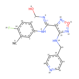 N#Cc1cc(N/C(=N\CO)c2nonc2NCc2ccncc2)ccc1F